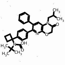 CC(C)CN1C(=O)COc2nc(-c3ccc(C4(N(C(=O)O)C(C)(C)C)CCC4)cc3)c(-c3ccccc3)cc21